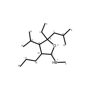 CBC1OC(CC)(CC(C)C)C(C(C)C)C1CCC